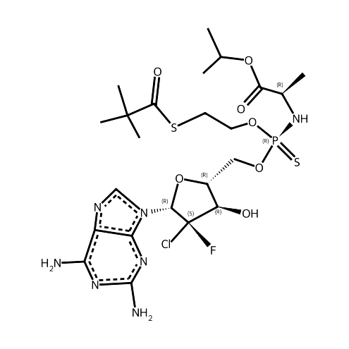 CC(C)OC(=O)[C@@H](C)N[P@](=S)(OCCSC(=O)C(C)(C)C)OC[C@H]1O[C@@H](n2cnc3c(N)nc(N)nc32)[C@@](F)(Cl)[C@@H]1O